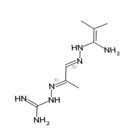 CC(C)=C(N)N/N=C/C(C)=N/NC(=N)N